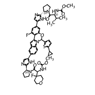 COC(=O)NC(C(=O)N1CCC[C@H]1c1ncc(-c2ccc3c(c2)cc2n3C(c3ccc(C4CC4)s3)Oc3cc(-c4cnc([C@@H]5CCCN5C(=O)[C@@H](NC(=O)OC)C(C)C)[nH]4)cc(F)c3-2)[nH]1)C1(F)CCOCC1